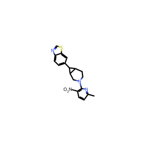 Cc1ccc([N+](=O)[O-])c(N2CCC3C(C2)C3c2ccc3ncsc3c2)n1